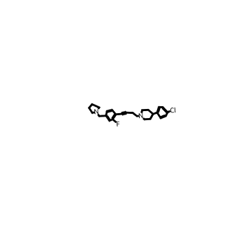 Fc1cc(CN2CCCC2)ccc1C#CCCN1CCC(c2ccc(Cl)cc2)CC1